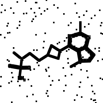 Cc1nc(N2CC(CCN(C)S(N)(=O)=O)C2)c2c(ccn2C)n1